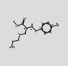 COC(=O)[C@H](CSCCO)NCc1ccc(Cl)cc1